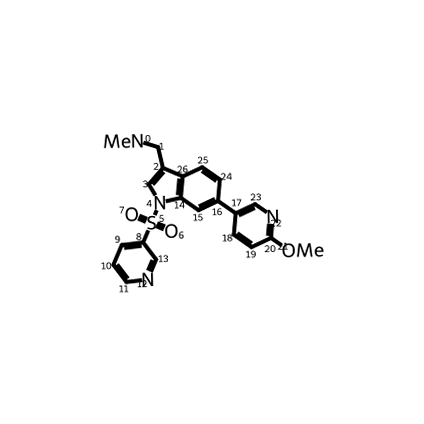 CNCc1cn(S(=O)(=O)c2cccnc2)c2cc(-c3ccc(OC)nc3)ccc12